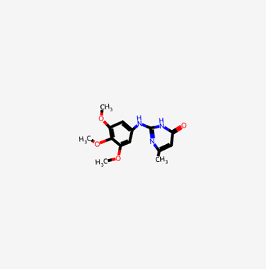 COc1cc(Nc2nc(C)cc(=O)[nH]2)cc(OC)c1OC